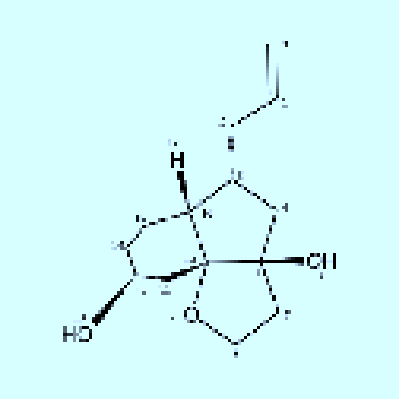 C=CC[C@@H]1C[C@]2(O)CCO[C@@]23C[C@@H](O)CC[C@H]13